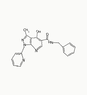 Cc1nn(-c2ccccn2)c2ncc(C(=O)NCc3ccccc3)c(O)c12